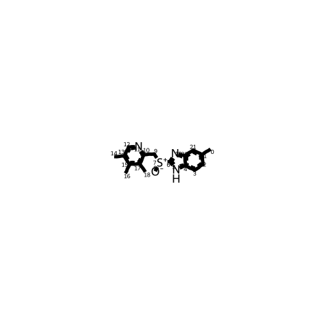 Cc1ccc2[nH]c([S+]([O-])Cc3ncc(C)c(C)c3C)nc2c1